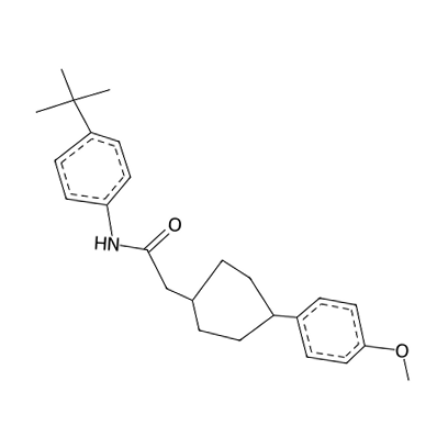 COc1ccc(C2CCC(CC(=O)Nc3ccc(C(C)(C)C)cc3)CC2)cc1